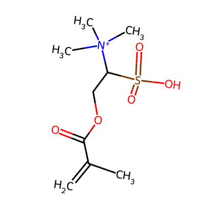 C=C(C)C(=O)OCC([N+](C)(C)C)S(=O)(=O)O